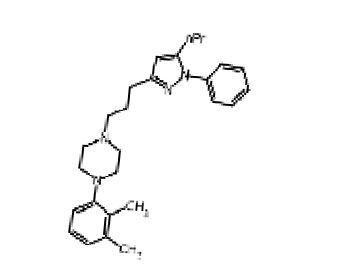 CCCc1cc(CCCN2CCN(c3cccc(C)c3C)CC2)nn1-c1ccccc1